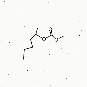 CCCCC(C)OC(=O)OC